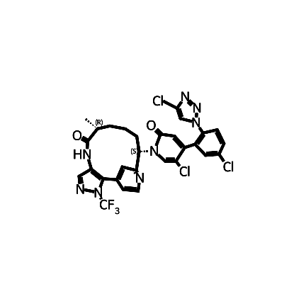 C[C@@H]1CCC[C@H](n2cc(Cl)c(-c3cc(Cl)ccc3-n3cc(Cl)nn3)cc2=O)c2cc(ccn2)-c2c(cnn2C(F)(F)F)NC1=O